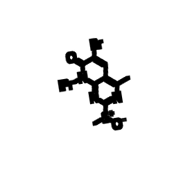 Cc1nc([S+](C)[O-])nc2c1cc(Br)c(=O)n2C(C)C